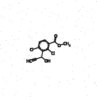 C#CC(O)c1c(Cl)ccc(C(=O)OC)c1Cl